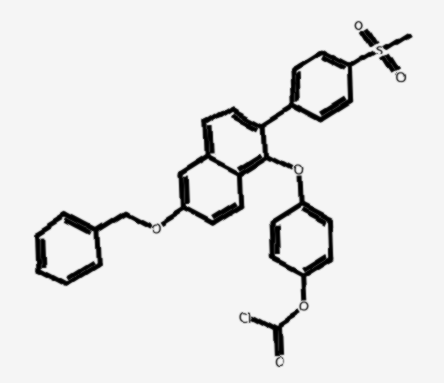 CS(=O)(=O)c1ccc(-c2ccc3cc(OCc4ccccc4)ccc3c2Oc2ccc(OC(=O)Cl)cc2)cc1